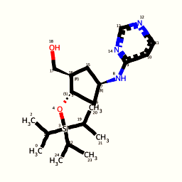 CC(C)[Si](O[C@H]1C[C@H](Nc2ccncn2)C[C@@H]1CO)(C(C)C)C(C)C